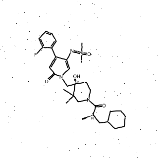 C[C@H](CC1CCCCC1)C(=O)N1CC[C@@](O)(Cn2cc(N=S(C)(C)=O)c(-c3ccccc3F)cc2=O)C(C)(C)C1